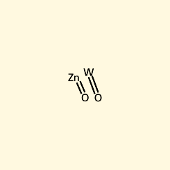 [O]=[W].[O]=[Zn]